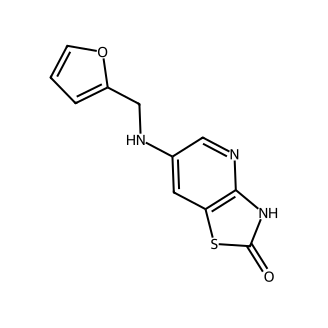 O=c1[nH]c2ncc(NCc3ccco3)cc2s1